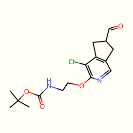 CC(C)(C)OC(=O)NCCOc1ncc2c(c1Cl)CC(C=O)C2